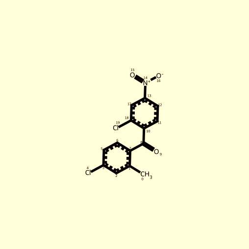 Cc1cc(Cl)ccc1C(=O)c1ccc([N+](=O)[O-])cc1Cl